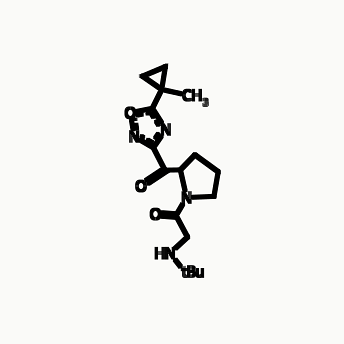 CC(C)(C)NCC(=O)N1CCCC1C(=O)c1noc(C2(C)CC2)n1